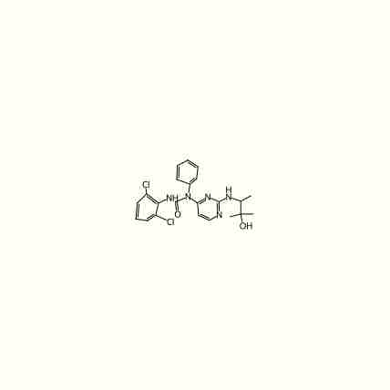 CC(Nc1nccc(N(C(=O)Nc2c(Cl)cccc2Cl)c2ccccc2)n1)C(C)(C)O